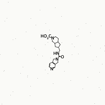 O=C(O)N1CCC2CC(CNC(=O)N3Cc4ccncc4C3)CC2C1